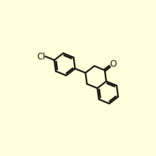 O=C1CC(c2ccc(Cl)cc2)Cc2ccccc21